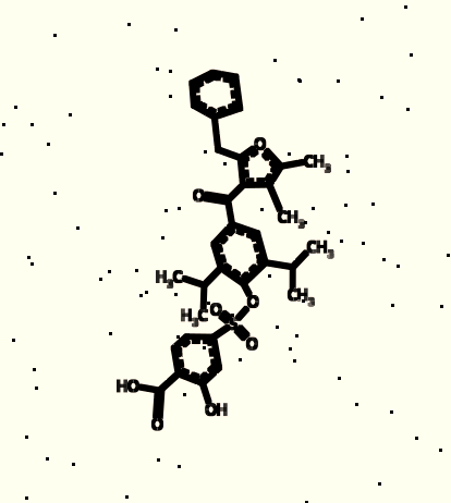 Cc1oc(Cc2ccccc2)c(C(=O)c2cc(C(C)C)c(OS(=O)(=O)c3ccc(C(=O)O)c(O)c3)c(C(C)C)c2)c1C